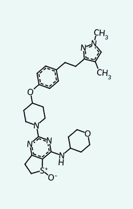 Cc1cn(C)nc1CCc1ccc(OC2CCN(c3nc4c(c(NC5CCOCC5)n3)[S+]([O-])CC4)CC2)cc1